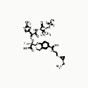 CC1(C)[C@H](NC(=O)/C(=N\O[C@](C)(C(=O)O)[C@H]2CCc3cc(C(=N)NCC[C@@H]4C[C@H]4CN)ccc3O2)c2csc(N)n2)C(=O)N1OS(=O)(=O)O